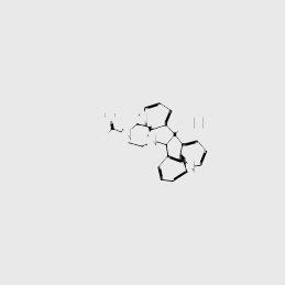 CC(=O)N1CCN(C(c2ccccc2)C(O)(c2cccnc2)c2cccnc2)CC1